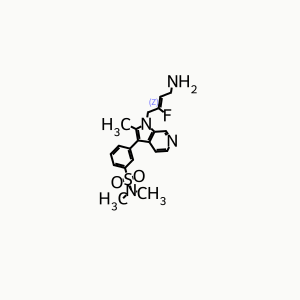 Cc1c(-c2cccc(S(=O)(=O)N(C)C)c2)c2ccncc2n1C/C(F)=C/CN